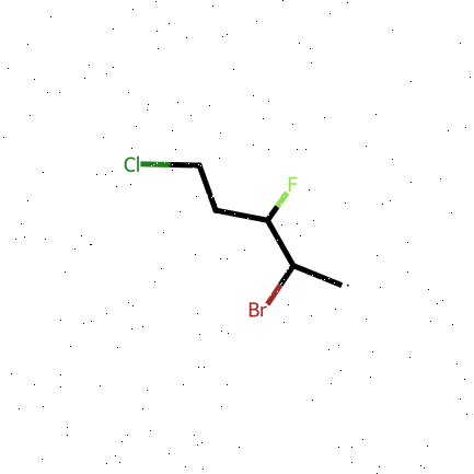 [CH2]C(Br)C(F)CCCl